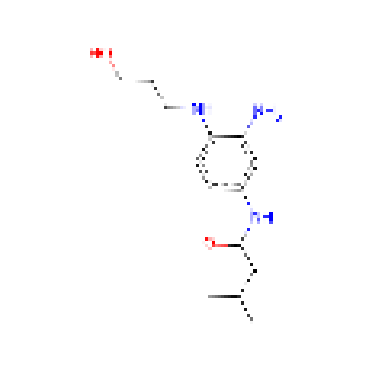 CC(C)CC(=O)Nc1ccc(NCCCO)c(N)c1